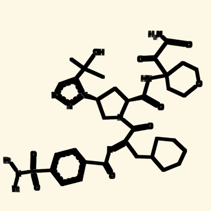 CCN(CC)S(=O)(=O)c1ccc(C(=O)/N=C(\CC2CCCCC2)C(=O)N2C[C@@H](n3nncc3C(C)(C)O)C[C@H]2C(=O)NC2(C(=O)C(N)=O)CCOCC2)cc1